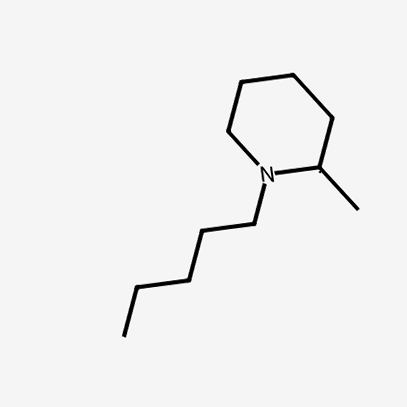 CCCCCN1CCCC[C]1C